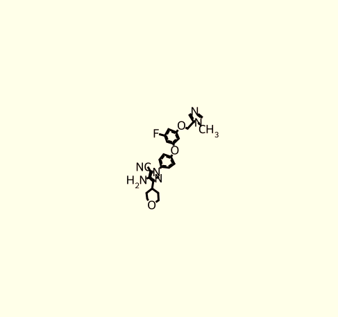 Cn1cncc1COc1cc(F)cc(Oc2ccc(-n3nc(C4CCOCC4)c(N)c3C#N)cc2)c1